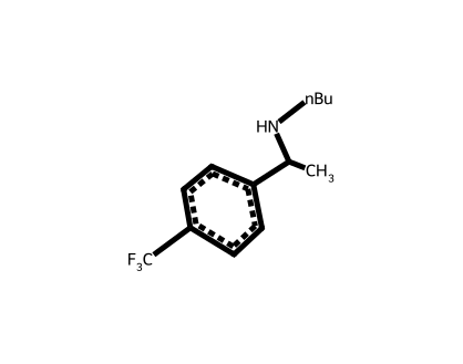 CCCCNC(C)c1ccc(C(F)(F)F)cc1